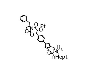 CCCCCCCC(=O)N(C)Cc1cc(-c2ccc(CC(OCC)C(=O)N3C(=O)OCC3Cc3ccccc3)cc2)cs1